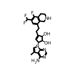 Cc1cn([C@H]2C=C(CCc3cc(C(F)F)c(F)c4c3CNCC4)[C@@H](O)[C@H]2O)c2ncnc(N)c12